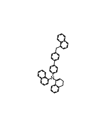 C1=C(N(c2ccc(-c3ccc(Cc4cccc5ccccc45)cc3)cc2)c2cccc3ccccc23)c2ccccc2CC1